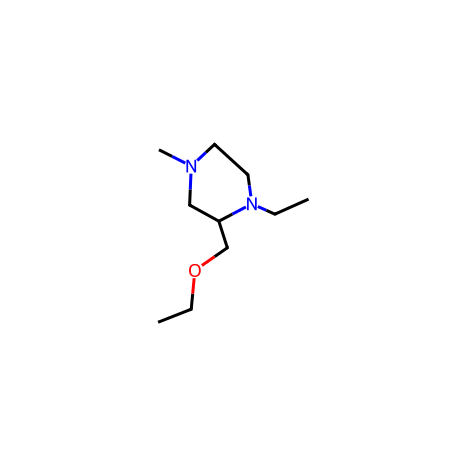 CCOCC1CN(C)CCN1CC